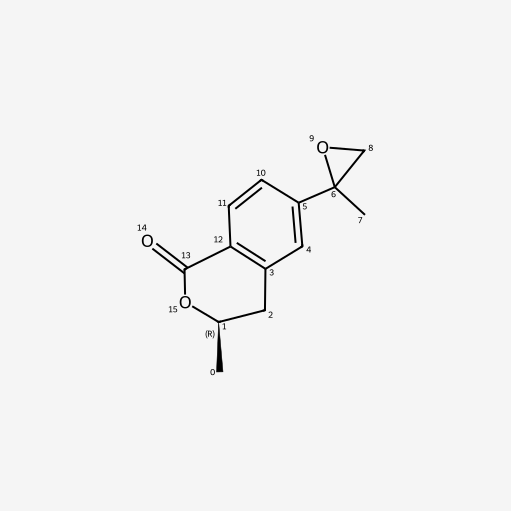 C[C@@H]1Cc2cc(C3(C)CO3)ccc2C(=O)O1